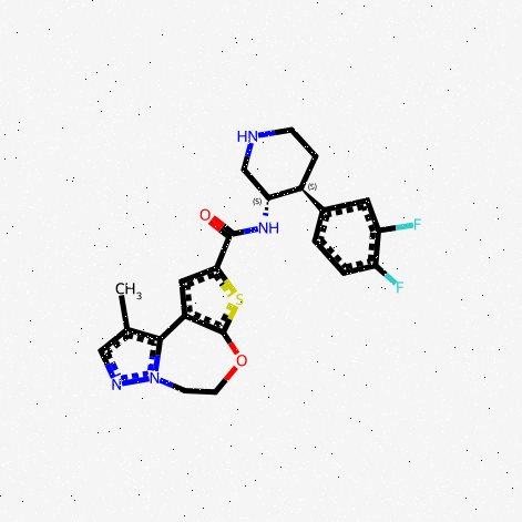 Cc1cnn2c1-c1cc(C(=O)N[C@@H]3CNCC[C@H]3c3ccc(F)c(F)c3)sc1OCC2